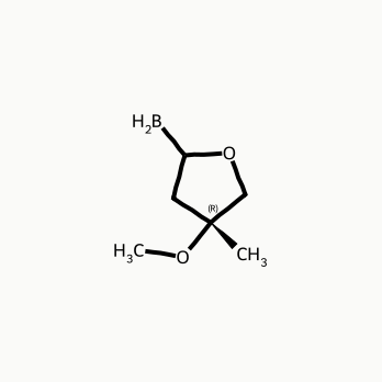 BC1C[C@@](C)(OC)CO1